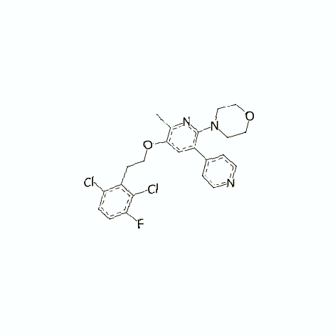 Cc1nc(N2CCOCC2)c(-c2ccncc2)cc1OCCc1c(Cl)ccc(F)c1Cl